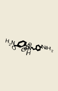 NC(=O)c1cccc(S(=O)(=O)NCCc2ccc(N)cc2)c1